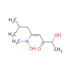 CC(C)C/C(=C/C(=O)C(C)O)N(C)O